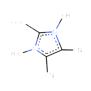 Cn1c(C#N)c(C#N)[n+](C)c1C(=O)[O-]